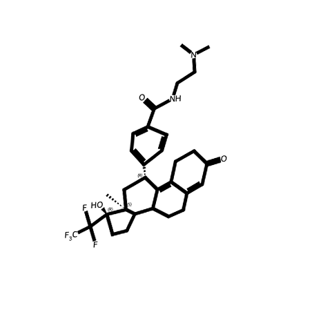 CN(C)CCNC(=O)c1ccc([C@H]2C[C@@]3(C)C(CC[C@]3(O)C(F)(F)C(F)(F)F)C3CCC4=CC(=O)CCC4=C32)cc1